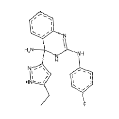 CCc1cc(C2(N)NC(Nc3ccc(F)cc3)=Nc3ccccc32)n[nH]1